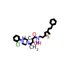 C=C([C@H](O)[C@@H](C)C(=O)NCCc1cc(/C=C/c2ccccc2)cs1)N1CCN(c2ccccc2Cl)CC1